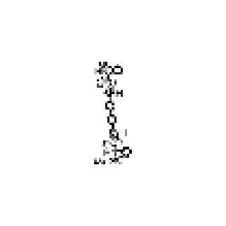 COC(=O)N[C@@H](C(=O)N1CCC[C@H]1c1cc(-c2ccc(-c3ccc(-c4cc([C@@H]5CCCN5C(=O)[C@H](NC5OCO5)c5ccccc5)n[nH]4)cc3)cc2)[nH]n1)c1ccccc1